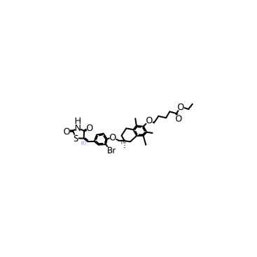 CCOC(=O)CCCCOc1c(C)c(C)c2c(c1C)CC[C@](C)(COc1ccc(/C=C3/SC(=O)NC3=O)cc1Br)C2